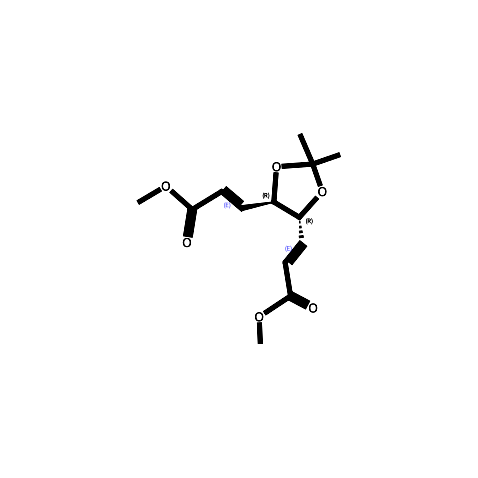 COC(=O)/C=C/[C@H]1OC(C)(C)O[C@@H]1/C=C/C(=O)OC